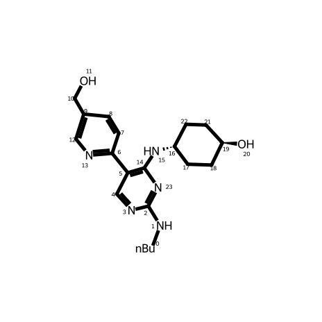 CCCCNc1ncc(-c2ccc(CO)cn2)c(N[C@H]2CC[C@H](O)CC2)n1